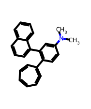 CN(C)c1ccc(C2=C=CC=CC=C2)c(-c2cccc3ccccc23)c1